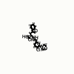 OB(O)C(Cc1coc2ccccc12)NSCc1ccc(Cl)c(N2CCOCC2)n1